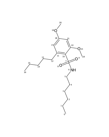 CCCCCCNS(=O)(=O)c1c(CCCCC)cc(OC)cc1OC